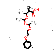 C=C(C(=O)O)C(C)OC(C)OC(C)OCCOc1ccccc1